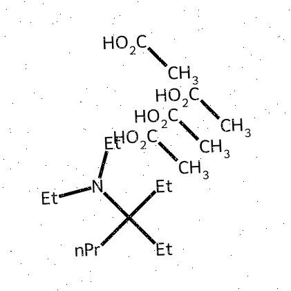 CC(=O)O.CC(=O)O.CC(=O)O.CC(=O)O.CCCC(CC)(CC)N(CC)CC